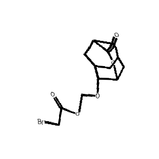 O=C(CBr)OCOC1C2CC3CC(C2)C(=O)OC1C3